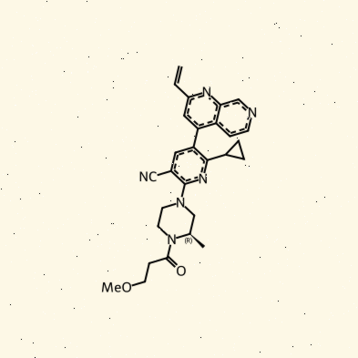 C=Cc1cc(-c2cc(C#N)c(N3CCN(C(=O)CCOC)[C@H](C)C3)nc2C2CC2)c2ccncc2n1